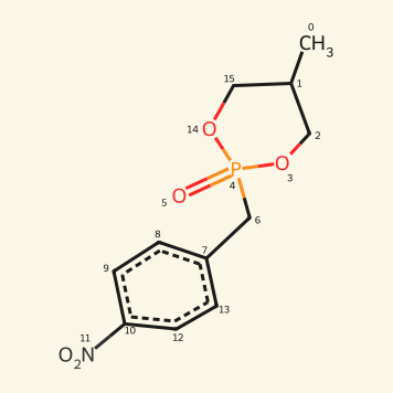 CC1COP(=O)(Cc2ccc([N+](=O)[O-])cc2)OC1